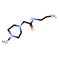 CCCNC(=O)CN1CCN(C)CC1